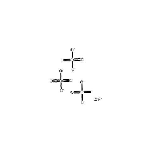 [O]=[Cr](=[O])([O-])[O-].[O]=[Cr](=[O])([O-])[O-].[O]=[Cr](=[O])([O-])[O-].[Zn+6]